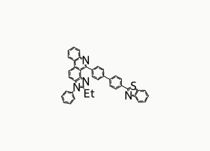 CCc1nc2c3c(-c4ccc(-c5ccc(-c6nc7ccccc7s6)cc5)cc4)nc4ccccc4c3ccc2n1-c1ccccc1